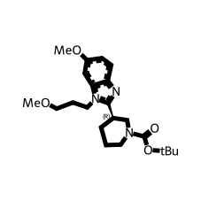 COCCCn1c([C@@H]2CCCN(C(=O)OC(C)(C)C)C2)nc2ccc(OC)cc21